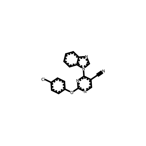 N#Cc1cnc(Oc2ccc(Cl)cc2)nc1-n1cnc2ccccc21